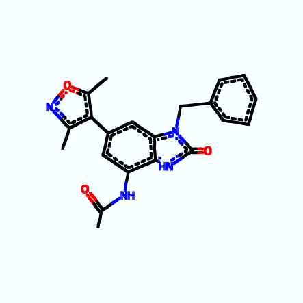 CC(=O)Nc1cc(-c2c(C)noc2C)cc2c1[nH]c(=O)n2Cc1ccccc1